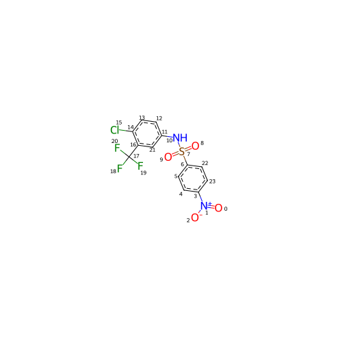 O=[N+]([O-])c1ccc(S(=O)(=O)Nc2ccc(Cl)c(C(F)(F)F)c2)cc1